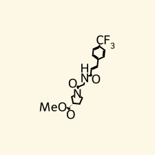 COC(=O)[C@H]1CCN(C(=O)CNC(=O)/C=C/c2ccc(C(F)(F)F)cc2)C1